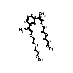 CCOCCOCCOC=C(C)c1cccc(/C(C)=C\OCCOCCOCC)c1